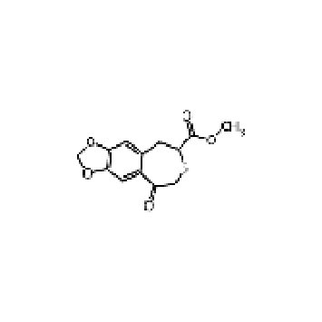 COC(=O)C1Cc2cc3c(cc2C(=O)CS1)OCO3